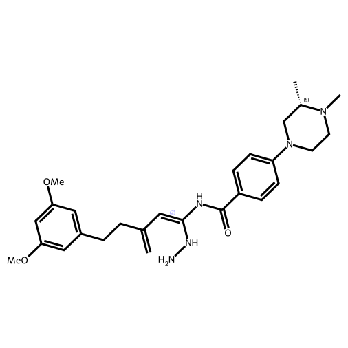 C=C(/C=C(\NN)NC(=O)c1ccc(N2CCN(C)[C@@H](C)C2)cc1)CCc1cc(OC)cc(OC)c1